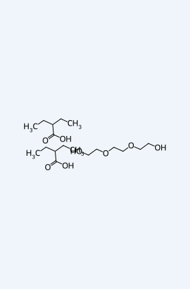 CCC(CC)C(=O)O.CCC(CC)C(=O)O.OCCOCCOCCO